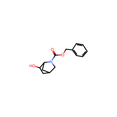 O=C(OCc1ccccc1)N1CC2CC(O)C1C2